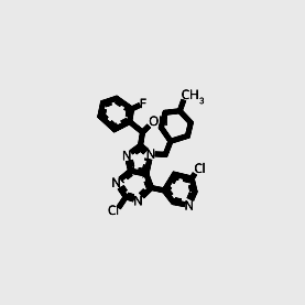 CC1CCC(Cn2c(C(O)c3ccccc3F)nc3nc(Cl)nc(-c4cncc(Cl)c4)c32)CC1